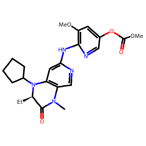 CC[C@@H]1C(=O)N(C)c2cnc(Nc3ncc(OC(=O)OC)cc3OC)cc2N1C1CCCC1